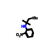 CC(C)(C)CC(C)(C)Nc1ccccc1[N+](=O)[O-]